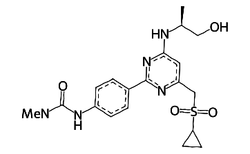 CNC(=O)Nc1ccc(-c2nc(CS(=O)(=O)C3CC3)cc(N[C@@H](C)CO)n2)cc1